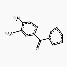 O=C(c1ccccc1)c1ccc([N+](=O)[O-])c(C(=O)O)c1